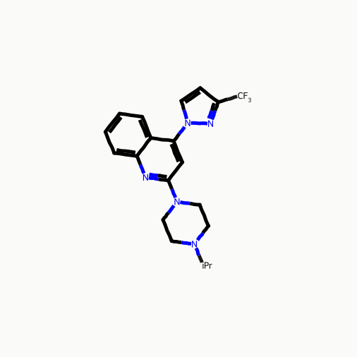 CC(C)N1CCN(c2cc(-n3ccc(C(F)(F)F)n3)c3ccccc3n2)CC1